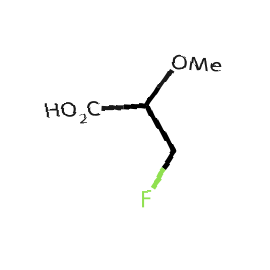 COC(CF)C(=O)O